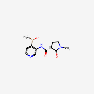 CN1CC[C@@H](C(=O)Nc2cnccc2[S+](C)[O-])C1=O